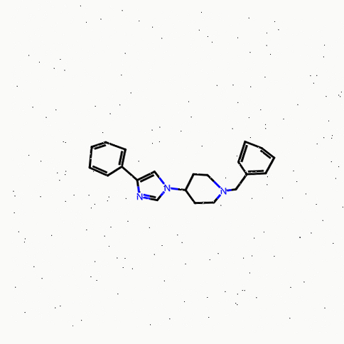 c1ccc(CN2CCC(n3cnc(-c4ccccc4)c3)CC2)cc1